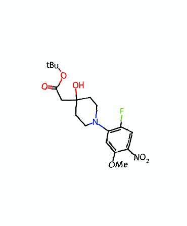 COc1cc(N2CCC(O)(CC(=O)OC(C)(C)C)CC2)c(F)cc1[N+](=O)[O-]